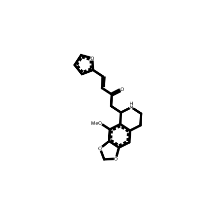 COc1c2c(cc3c1C(CC(=O)/C=C/c1ccco1)NCC3)OCO2